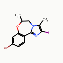 Cc1c(I)nc2n1CC(C)Oc1cc(Br)ccc1-2